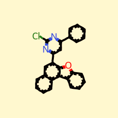 Clc1nc(-c2ccccc2)cc(-c2cc3ccccc3c3c2oc2ccccc23)n1